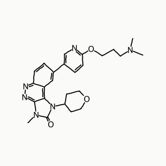 CN(C)CCCOc1ccc(-c2ccc3nnc4c(c3c2)n(C2CCOCC2)c(=O)n4C)cn1